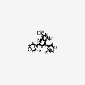 C[C@@H]1COCCN1c1cc(-c2ccnn2C)c2c(n1)c(Cl)nn2C